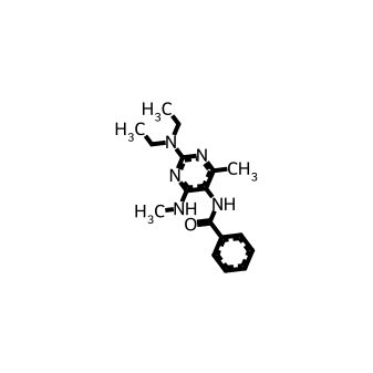 CCN(CC)c1nc(C)c(NC(=O)c2ccccc2)c(NC)n1